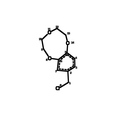 ClCc1ccc2c(c1)OCCOCCO2